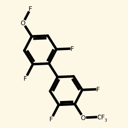 FOc1cc(F)c(-c2cc(F)c(OC(F)(F)F)c(F)c2)c(F)c1